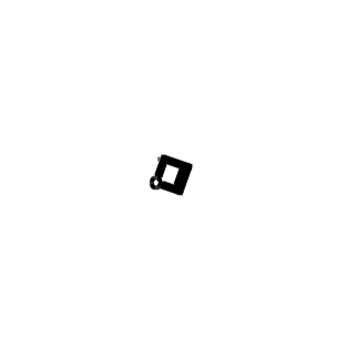 [CH]1C=CO1